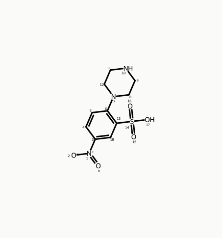 O=[N+]([O-])c1ccc(N2CCNCC2)c(S(=O)(=O)O)c1